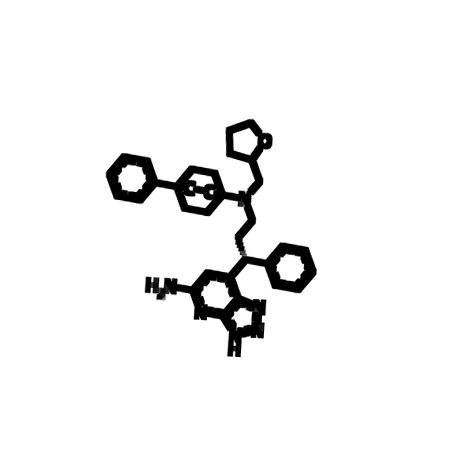 Nc1cc([C@H](CCN(CC2CCCO2)C23CCC(c4ccccc4)(CC2)CC3)c2ccccc2)c2nn[nH]c2n1